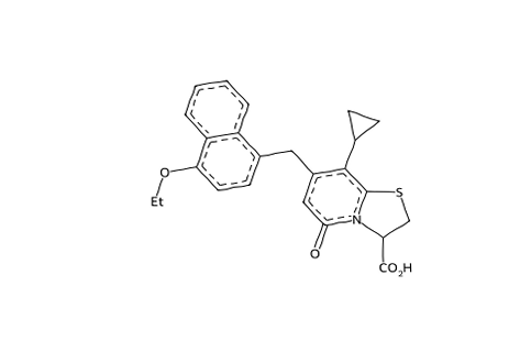 CCOc1ccc(Cc2cc(=O)n3c(c2C2CC2)SCC3C(=O)O)c2ccccc12